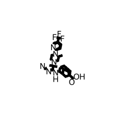 CC1CN(C(C)(C)/C(=N\C#N)NC2C3CC4CC2CC(C(=O)O)(C4)C3)CCN1c1ccc(C(F)(F)F)cn1